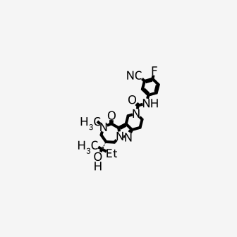 CCC(C)(O)[C@@H]1CN(C)C(=O)c2c3c(nn2C1)CCN(C(=O)Nc1ccc(F)c(C#N)c1)C3